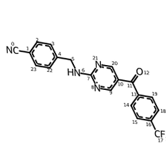 N#Cc1ccc(CNc2ncc(C(=O)c3ccc(C(F)(F)F)cc3)cn2)cc1